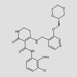 COc1c(Cl)cccc1NC(=S)C1=C(NCc2ccncc2OC[C@@H]2COCCO2)CCNC1=O